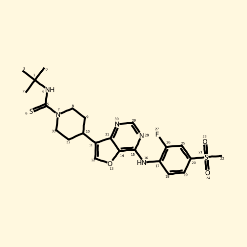 CC(C)(C)NC(=S)N1CCC(c2coc3c(Nc4ccc(S(C)(=O)=O)cc4F)ncnc23)CC1